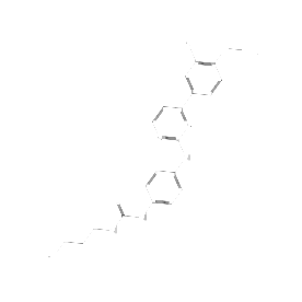 COc1ccc(-c2ccnc(Nc3ccc(NC(=O)NCCCO)cc3)n2)cc1N